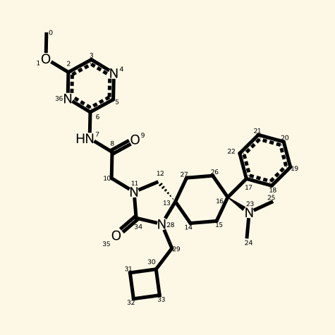 COc1cncc(NC(=O)CN2C[C@]3(CC[C@](c4ccccc4)(N(C)C)CC3)N(CC3CCC3)C2=O)n1